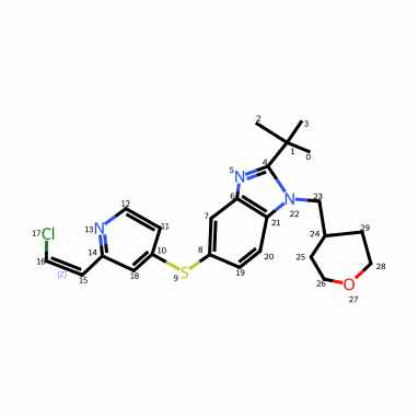 CC(C)(C)c1nc2cc(Sc3ccnc(/C=C\Cl)c3)ccc2n1CC1CCOCC1